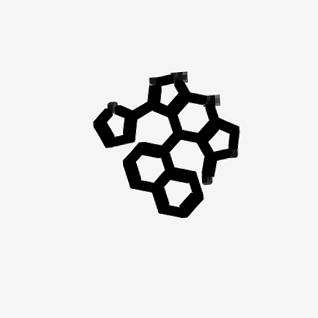 O=C1OCC2=C1C(c1cccc3ccccc13)c1c(-c3ccco3)n[nH]c1N2